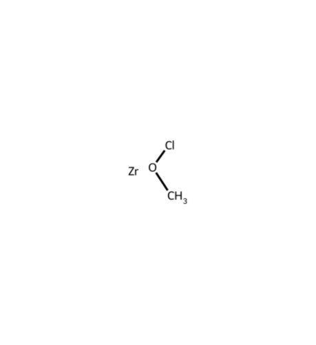 COCl.[Zr]